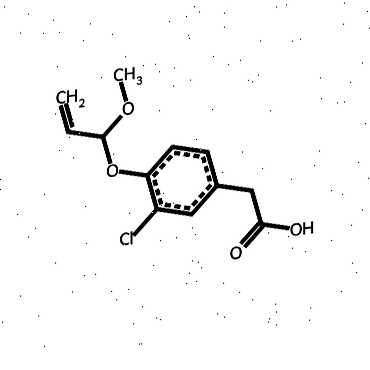 C=CC(OC)Oc1ccc(CC(=O)O)cc1Cl